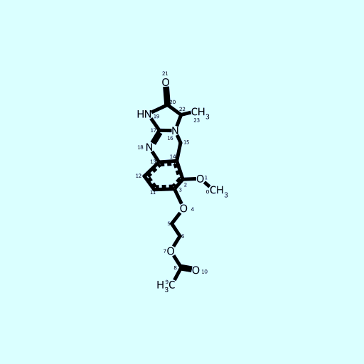 COc1c(OCCOC(C)=O)ccc2c1CN1C(=N2)NC(=O)C1C